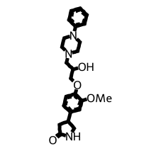 COc1cc(C2CNC(=O)C2)ccc1OCC(O)CN1CCN(c2ccccc2)CC1